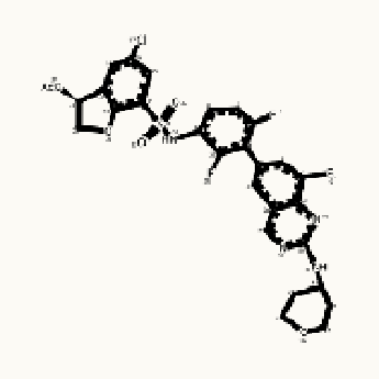 CCc1cc(-c2c(F)ccc(NS(=O)(=O)c3cc(Cl)cc4c3OC[C@H]4OC(C)=O)c2F)cc2cnc(NC3CCOCC3)nc12